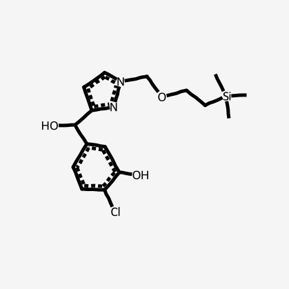 C[Si](C)(C)CCOCn1ccc(C(O)c2ccc(Cl)c(O)c2)n1